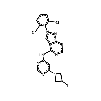 FC1CN(c2cc(Nc3nccc4nn(-c5c(Cl)cccc5Cl)cc34)ncn2)C1